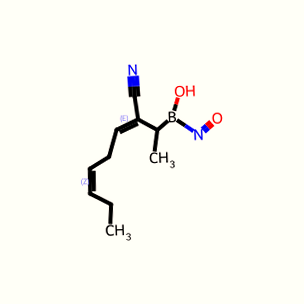 CC/C=C\C/C=C(/C#N)C(C)B(O)N=O